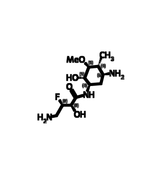 CO[C@H]1[C@H](C)[C@@H](N)C[C@@H](NC(=O)[C@@H](O)[C@H](F)CN)[C@@H]1O